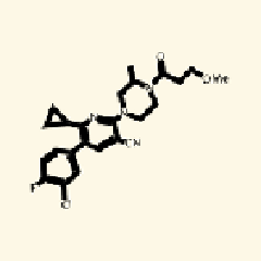 COCCC(=O)N1CCN(c2nc(C3CC3)c(-c3ccc(F)c(Cl)c3)cc2C#N)CC1C